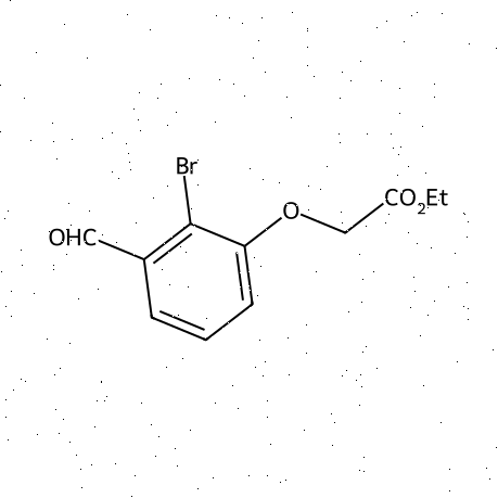 CCOC(=O)COc1cccc(C=O)c1Br